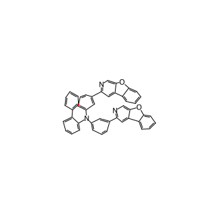 c1ccc(-c2ccccc2N(c2cccc(-c3cc4c(cn3)oc3ccccc34)c2)c2cccc(-c3cc4c(cn3)oc3ccccc34)c2)cc1